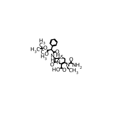 CCN(C(N)=O)C1=C(C(=O)O)N2C(=O)C(NC(=O)C(C(=O)OC(C)(C)C)c3ccccc3)[C@H]2SC1